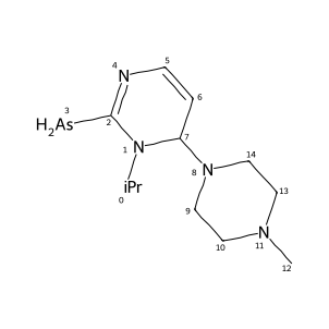 CC(C)N1C([AsH2])=NC=CC1N1CCN(C)CC1